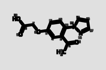 CC(=O)c1cc(OCC(=O)O)ccc1-n1cccn1